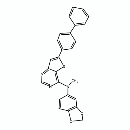 CN(c1ccc2c(c1)OCO2)c1ncnc2cc(-c3ccc(-c4ccccc4)cc3)sc12